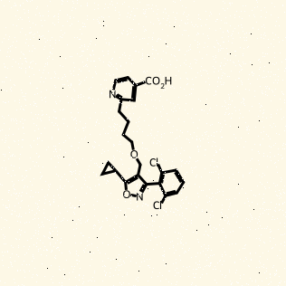 O=C(O)c1ccnc(CCCCOCc2c(-c3c(Cl)cccc3Cl)noc2C2CC2)c1